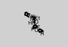 CCc1oc(N2CC3CCCC3C2)nc1C(=O)Nc1cc(F)c(OC2CC3C[C@@H]3C2)c(F)c1